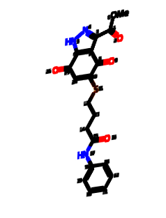 COC(=O)c1n[nH]c2c1C(=O)C(SCCCC(=O)Nc1ccccc1)=CC2=O